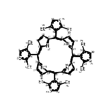 CCc1csc(CC)c1C1=C2C=CC(=N2)C(c2c(CC)csc2CC)=C2C=CC(=N2)C(c2c(CC)csc2CC)=C2C=CC(=N2)C(c2c(CC)csc2CC)=C2C=CC1=N2